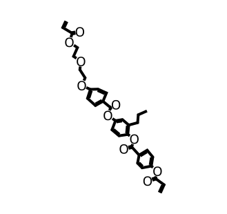 C=CC(=O)OCCOCCOc1ccc(C(=O)Oc2ccc(OC(=O)c3ccc(OC(=O)C=C)cc3)c(CCC)c2)cc1